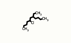 CCCCC(Cl)CC(CC)CCCC